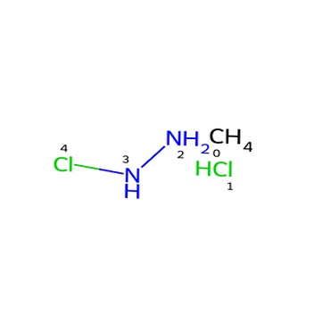 C.Cl.NNCl